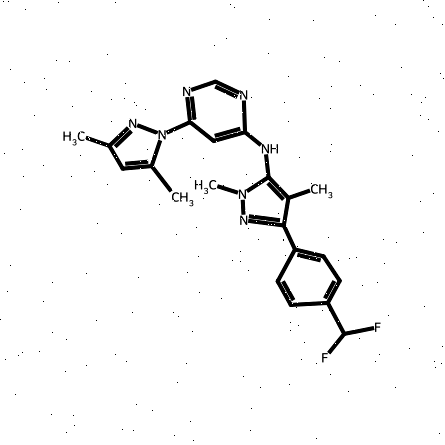 Cc1cc(C)n(-c2cc(Nc3c(C)c(-c4ccc(C(F)F)cc4)nn3C)ncn2)n1